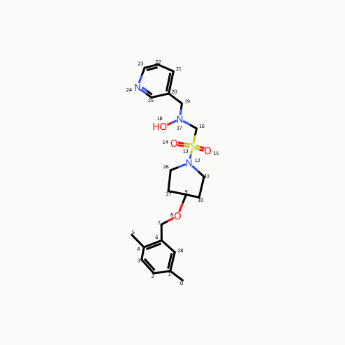 Cc1ccc(C)c(COC2CCN(S(=O)(=O)CN(O)Cc3cccnc3)CC2)c1